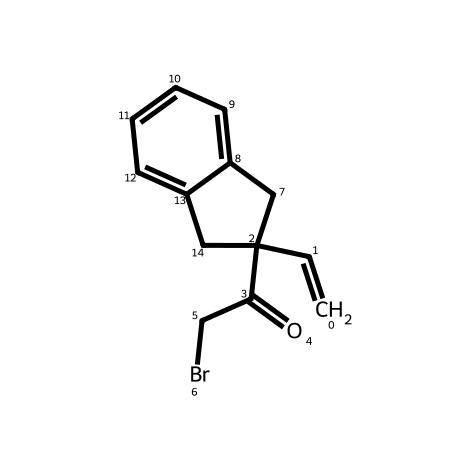 C=CC1(C(=O)CBr)Cc2ccccc2C1